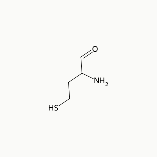 NC(C=O)CCS